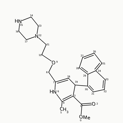 COC(=O)C1=C(C)NC(COCCN2CCNCC2)=CC1c1cccc2ccccc12